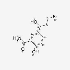 NC(=O)c1cc(C(O)CCBr)ccc1O